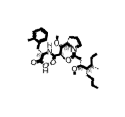 CCCC[C@@H]([C@@H](C)CC)[C@@H](CC(=O)N1CCC[C@H]1[C@H](OC)[C@@H](C)C(=O)N[C@@H](Cc1ccccc1C)C(=O)O)OC